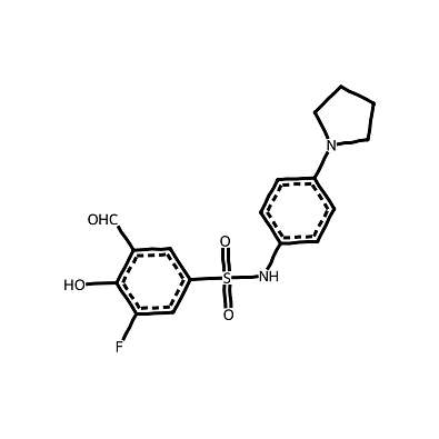 O=Cc1cc(S(=O)(=O)Nc2ccc(N3CCCC3)cc2)cc(F)c1O